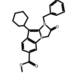 COC(=O)c1ccc2c(C3CCCCC3)c3n(c2c1)CC(=O)N3Cc1ccccc1